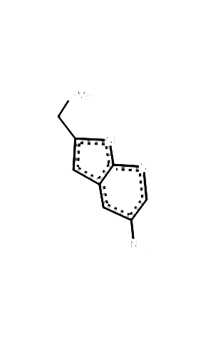 COCc1cc2cc(N)cnc2[nH]1